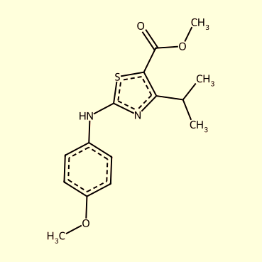 COC(=O)c1sc(Nc2ccc(OC)cc2)nc1C(C)C